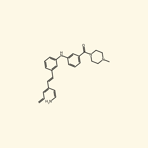 C=C/C=C(\C=C/N)/C=C/c1cccc(Nc2cccc(C(=O)N3CCN(C)CC3)c2)c1